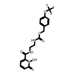 O=C(NCCNC(=O)c1cccc(=S)n1O)OCc1ccc(OC(F)(F)F)cc1